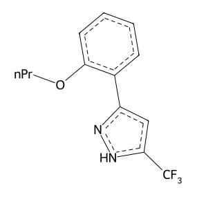 CCCOc1ccccc1-c1cc(C(F)(F)F)[nH]n1